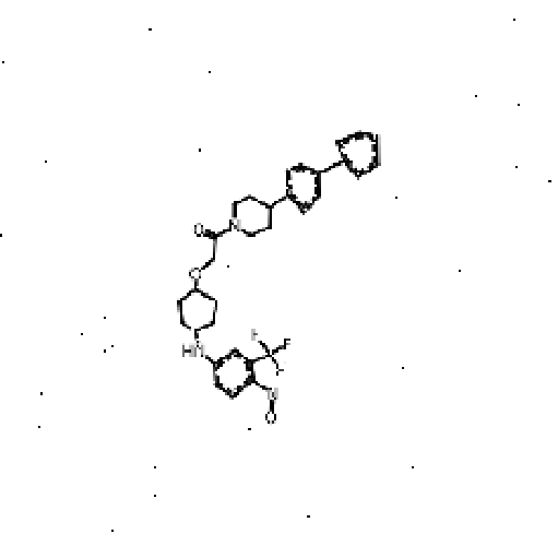 O=Nc1ccc(NC2CCC(OCC(=O)N3CCC(c4ccc(-c5ccccc5)cc4)CC3)CC2)cc1C(F)(F)F